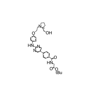 CC(C)(C)OC(=O)CNC(=O)c1ccc(-c2cnc(Nc3ccc(OCCN4CCC[C@H]4CO)cc3)nc2)cc1